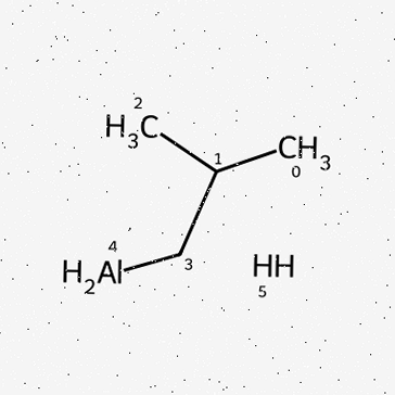 CC(C)[CH2][AlH2].[HH]